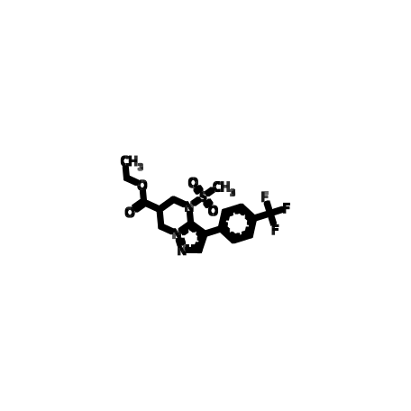 CCOC(=O)C1CN(S(C)(=O)=O)c2c(-c3ccc(C(F)(F)F)cc3)cnn2C1